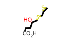 O=C(O)CCC(O)CSCC1CS1